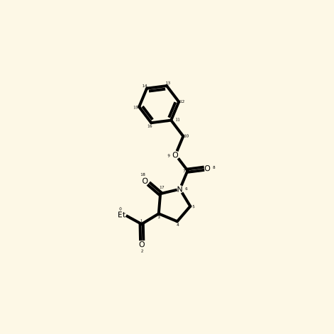 CCC(=O)C1CCN(C(=O)OCc2ccccc2)C1=O